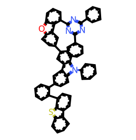 c1ccc(-c2nc(-c3ccccc3)nc(-c3cccc4oc5ccc(-c6ccc7c(c6)c6cc(-c8ccccc8-c8cccc9c8sc8ccccc89)ccc6n7-c6ccccc6)cc5c34)n2)cc1